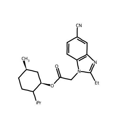 CCc1nc2cc(C#N)ccc2n1CC(=O)O[C@@H]1C[C@H](C)CCC1C(C)C